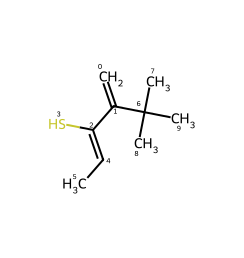 C=C(/C(S)=C/C)C(C)(C)C